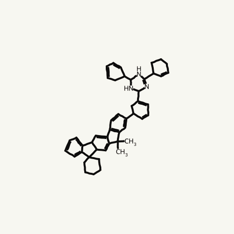 CC1(C)C2=CC3C(C=C2c2ccc(C4C=CC=C(C5N=C(C6C=CCCC6)NC(C6C=CC=CC6)N5)C4)cc21)c1ccccc1C31CCCCC1